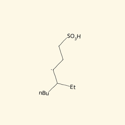 CCCCC([CH]CCS(=O)(=O)O)CC